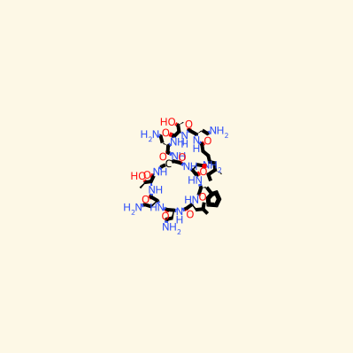 CC[C@@H](C)CCCCC(=O)N[C@@H](CCN)C(=O)N[C@H](C(=O)N[C@@H](CCN)C(=O)N[C@H]1CCNC(=O)[C@H]([C@@H](C)O)NC(=O)[C@H](CCN)NC(=O)[C@H](CCN)NC(=O)[C@H](CC(C)C)NC(=O)[C@@H](Cc2ccccc2)NC(=O)[C@H](CCN)NC1=O)[C@@H](C)O